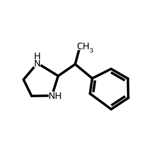 CC(c1ccccc1)C1NCCN1